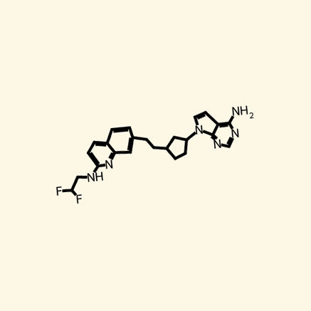 Nc1ncnc2c1ccn2C1CCC(CCc2ccc3ccc(NCC(F)F)nc3c2)C1